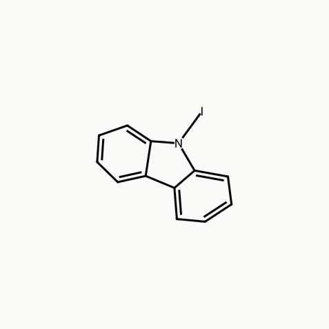 In1c2ccccc2c2ccccc21